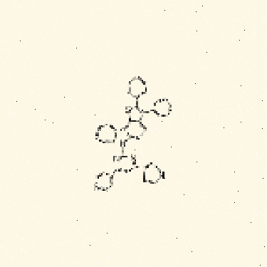 c1ccc(-c2sc3c(ccc4c3c3ccccc3n4-c3nc(-c4ccncc4)cc(-c4ccncc4)n3)c2-c2ccccc2)cc1